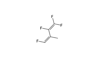 C/C(=C/F)C(F)=C(F)F